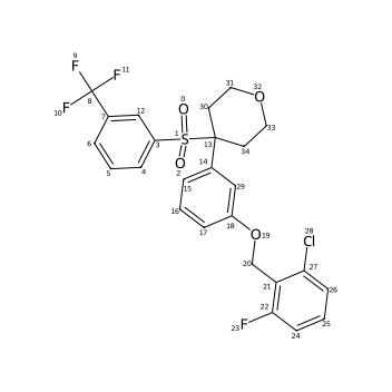 O=S(=O)(c1cccc(C(F)(F)F)c1)C1(c2cccc(OCc3c(F)cccc3Cl)c2)CCOCC1